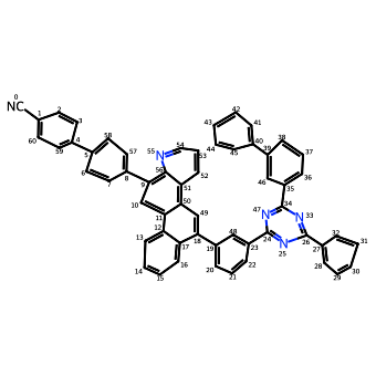 N#Cc1ccc(-c2ccc(-c3cc4c5ccccc5c(-c5cccc(-c6nc(-c7ccccc7)nc(-c7cccc(-c8ccccc8)c7)n6)c5)cc4c4cccnc34)cc2)cc1